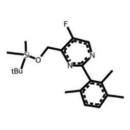 Cc1ccc(C)c(-c2ncc(F)c(CO[Si](C)(C)C(C)(C)C)n2)c1C